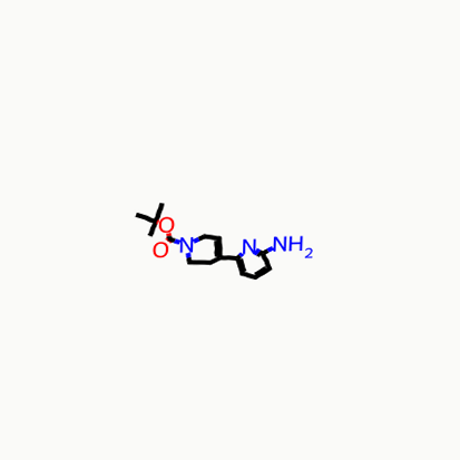 CC(C)(C)OC(=O)N1CC=C(c2cccc(N)n2)CC1